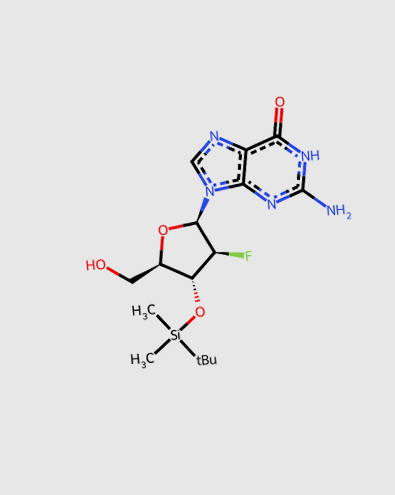 CC(C)(C)[Si](C)(C)O[C@H]1[C@H](F)[C@H](n2cnc3c(=O)[nH]c(N)nc32)O[C@@H]1CO